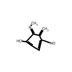 C=C1C(N=O)=CC=C(O)/C1=N/C